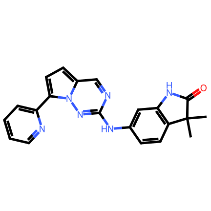 CC1(C)C(=O)Nc2cc(Nc3ncc4ccc(-c5ccccn5)n4n3)ccc21